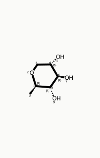 C[C@H]1OC[C@H](O)[C@@H](O)[C@@H]1O